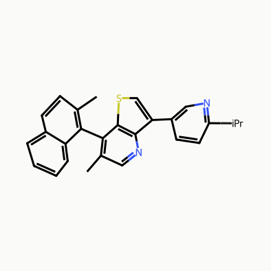 Cc1ccc2ccccc2c1-c1c(C)cnc2c(-c3ccc(C(C)C)nc3)csc12